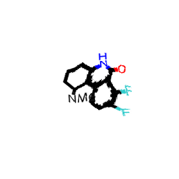 CNC1CCCc2[nH]c(=O)c3c(F)c(F)ccc3c21